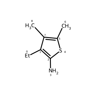 CCc1c(N)sc(C)c1C